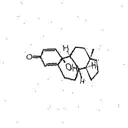 C[C@@]12[CH]CC[C@H]1[C@@H]1CCC3=CC(=O)C=C[C@]3(O)[C@H]1CC2